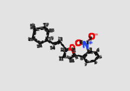 O=[N+]([O-])c1ccccc1-c1ccc(/C=C/c2ccccc2)o1